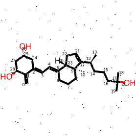 C=C1/C(=C/C=C2\CCC[C@]3(C)C([C@@H](C)CCCC(C)(C)O)=CC[C@@H]23)C[C@@H](O)C[C@@H]1O